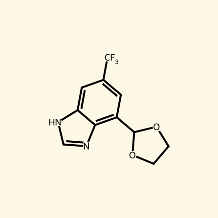 FC(F)(F)c1cc(C2OCCO2)c2nc[nH]c2c1